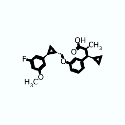 COc1cc(F)cc([C@H]2C[C@@H]2COc2cccc([C@H](C3CC3)[C@H](C)C(=O)O)c2)c1